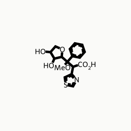 COC(c1ccccc1)(C(C(=O)O)c1cscn1)C1OCC(O)C1O